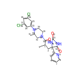 CC(CC1(c2ccccn2)NC(=O)NC1=O)C(=O)N1CCN(c2cc(Cl)cc(Cl)c2)C(C)C1